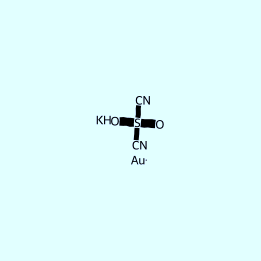 N#CS(=O)(=O)C#N.[Au].[KH]